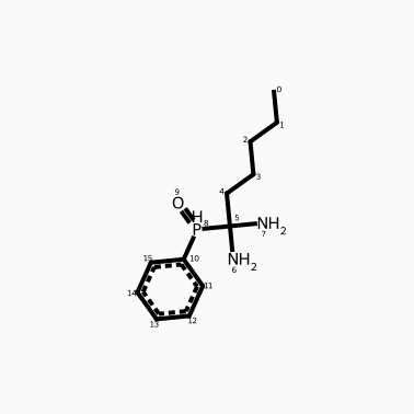 CCCCCC(N)(N)[PH](=O)c1ccccc1